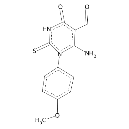 COc1ccc(-n2c(N)c(C=O)c(=O)[nH]c2=S)cc1